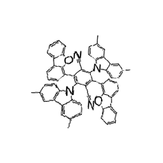 Cc1ccc2c(c1)c1cc(C)ccc1n2-c1c(C#N)c(-c2cccc3c2oc2ccccc23)c(-n2c3ccc(C)cc3c3cc(C)ccc32)c(C#N)c1-c1cccc2c1oc1ccccc12